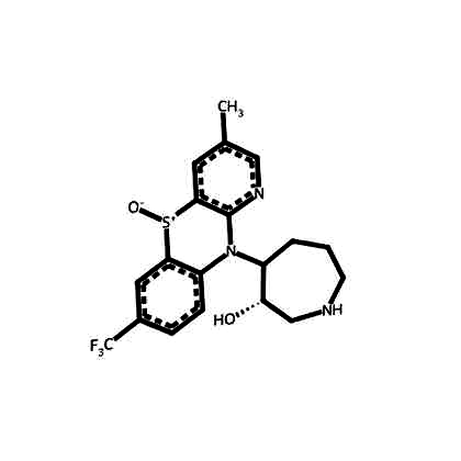 Cc1cnc2c(c1)[S+]([O-])c1cc(C(F)(F)F)ccc1N2C1CCCNC[C@@H]1O